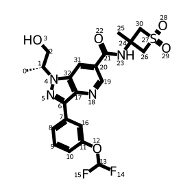 C[C@H](CO)n1nc(-c2cccc(OC(F)F)c2)c2ncc(C(=O)NC3(C)CS(=O)(=O)C3)cc21